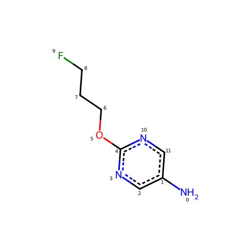 Nc1cnc(OCCCF)nc1